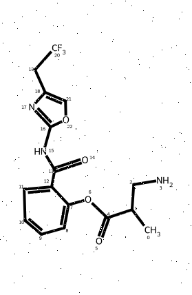 CC(CN)C(=O)Oc1ccccc1C(=O)Nc1nc(CC(F)(F)F)co1